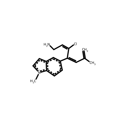 C=C(C)/C=C(\C(Cl)=C/CN)c1ccc2c(ccn2C)c1